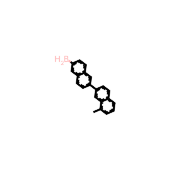 Bc1ccc2cc(-c3ccc4cccc(C)c4c3)ccc2c1